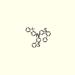 CC1(C)c2ccccc2-c2ccc(N(c3ccc4sc5ccccc5c4c3)c3ccc4sc5cccc(-c6ccccc6)c5c4c3)cc21